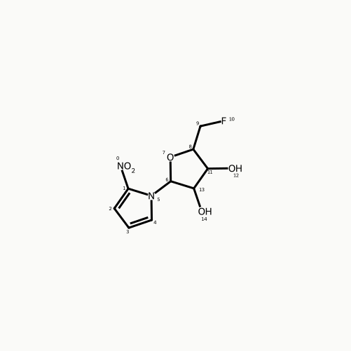 O=[N+]([O-])c1cccn1C1OC(CF)C(O)C1O